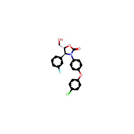 O=C1O[C@@H](CO)[C@H](c2cccc(F)c2)N1c1ccc(Oc2ccc(Cl)cc2)cc1